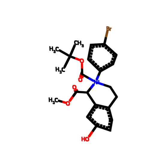 COC(=O)C1c2cc(O)ccc2CC[N+]1(C(=O)OC(C)(C)C)c1ccc(Br)cc1